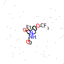 CCc1c2n(c(NCC3CCCO3)cc1=O)CCc1cc(OCC(F)(F)F)ccc1-2